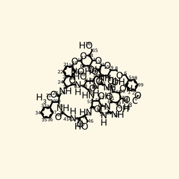 COc1ccc(COCC2OC(OC3C(CO)OC(Oc4ccc(CC5NC(=O)C(C(C)c6ccccc6)NC(=O)CNC(=O)C(CO)NC(=O)C(C(O)C6CNC(=N)N6C6OC(CO)C(O)C(O)C6O)NC(=O)C(C(O)C6CNC(=N)N6)NC5=O)cc4)C(O)C3O)C(O)C(O)C2O)cc1